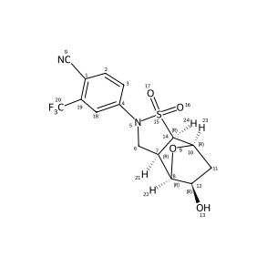 N#Cc1ccc(N2C[C@@H]3[C@H]4O[C@H](C[C@H]4O)[C@@H]3S2(=O)=O)cc1C(F)(F)F